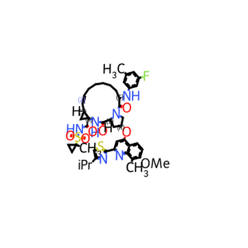 COc1ccc2c(O[C@@H]3C[C@H]4C(=O)N[C@]5(C(=O)NS(=O)(=O)C6(C)CC6)C[C@H]5/C=C\CCCCC[C@H](Nc5cc(C)cc(F)c5)C(=O)N4C3)cc(-c3nc(C(C)C)cs3)nc2c1C